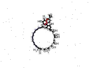 C[C@H]1C[C@H](O)[C@@H](C)/C=C/C=C/C=C/C=C/C=C/C=C/C=C/C(O[C@@H]2OC[C@@H](O)[C@H](N)[C@@H]2O)C[C@@H]2OC(O)(CC(O)CC(O)C(O)CCC(O)CC(O)CC(=O)O1)C[C@H](O)C2C(=O)N1CCN(C2COC2)CC1